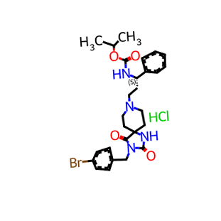 CC(C)OC(=O)N[C@@H](CCN1CCC2(CC1)NC(=O)N(Cc1ccc(Br)cc1)C2=O)c1ccccc1.Cl